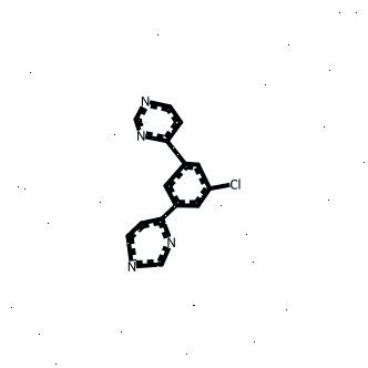 Clc1cc(-c2ccncn2)cc(-c2ccncn2)c1